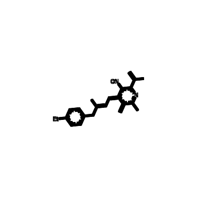 C=C(C)c1nc(C)c(=C)/c(=C\C=C(/C)Cc2ccc(CC)cc2)c1N=O